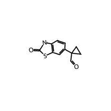 O=CC1(c2ccc3c(c2)SC(=O)[N]3)CC1